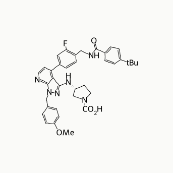 COc1ccc(Cn2nc(N[C@@H]3CCN(C(=O)O)C3)c3c(-c4ccc(CNC(=O)c5ccc(C(C)(C)C)cc5)c(F)c4)ccnc32)cc1